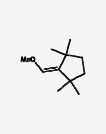 COC=C1C(C)(C)CCC1(C)C